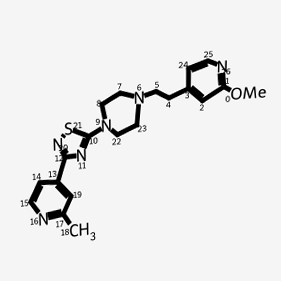 COc1cc(CCN2CCN(c3nc(-c4ccnc(C)c4)ns3)CC2)ccn1